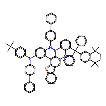 CC(C)(C)c1ccc(N(c2ccc(-c3ccccc3)cc2)c2ccc3c(c2)-c2c4c(cc5c2sc2ccccc25)Nc2c(cccc2C(c2ccccc2)(c2ccccc2)c2ccc5c(c2)C(C)(C)CCC5(C)C)B4N3c2ccc(-c3ccccc3)cc2)cc1